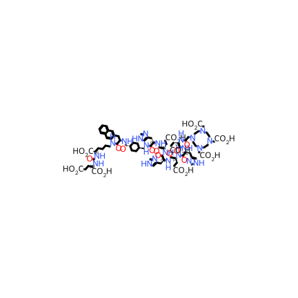 O=C(O)CC[C@H](NC(=O)N[C@@H](CCCCNC(=O)C(Cc1ccc2ccccc2c1)NC(=O)[C@H]1CC[C@H](CNC(=O)[C@H](Cc2c[nH]cn2)NC(=O)[C@H](CCC(=O)O)NC(=O)[C@H](Cc2c[nH]cn2)NC(=O)[C@H](CCC(=O)O)NC(=O)[C@H](Cc2c[nH]cn2)NC(=O)[C@H](CCC(=O)O)NC(=O)CN2CCN(CC(=O)O)CCN(CC(=O)O)CCN(CC(=O)O)CC2)CC1)C(=O)O)C(=O)O